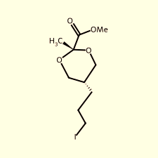 COC(=O)[C@]1(C)OC[C@H](CCCI)CO1